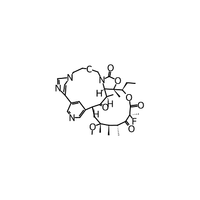 CC[C@H]1OC(=O)[C@@](C)(F)C(=O)[C@H](C)[C@@H](C)[C@](C)(OC)C[C@@H]2C(=O)[C@H](C)[C@H]3N(CCCCn4cnc(c4)-c4cncc2c4)C(=O)O[C@]13C